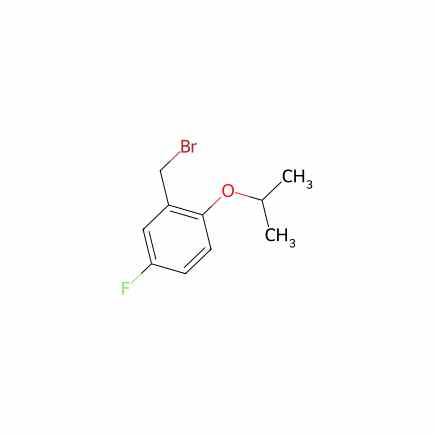 CC(C)Oc1ccc(F)cc1CBr